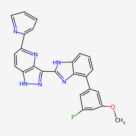 COc1cc(F)cc(-c2cccc3[nH]c(-c4n[nH]c5ccc(-c6ccccn6)nc45)nc23)c1